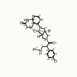 CC(C)NCC(C(=O)N1C[C@@H]2CN(c3ncnc4c3[C@H](C)CC(=O)N4)C[C@H]2C1)c1ccc(Cl)cc1